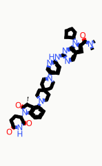 C[C@H]1C(=O)N([C@H]2CCC(=O)NC2=O)c2cccc(N3CCC4(CCN(c5ccc(Nc6ncc7cc(C(=O)N(C)C)n(C8CCCC8)c7n6)nc5)CC4)CC3)c21